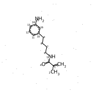 C=C(C)C(=O)NCCCCc1cccc(N)c1